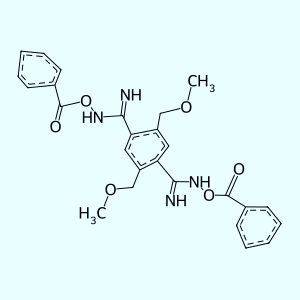 COCc1cc(C(=N)NOC(=O)c2ccccc2)c(COC)cc1C(=N)NOC(=O)c1ccccc1